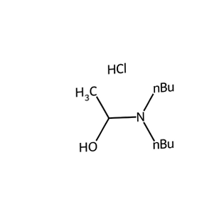 CCCCN(CCCC)C(C)O.Cl